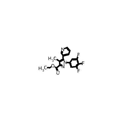 CCOC(=O)c1nn(-c2cc(F)c(F)c(F)c2)c(-c2cccnc2)c1C